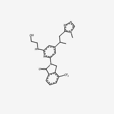 CC(Cc1nncn1C)c1cc(NCCO)nc(N2Cc3c(cccc3C(F)(F)F)C2=O)c1